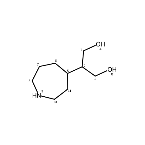 OCC(CO)C1CCCNCC1